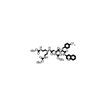 CC(C)(C)OC(=O)NCCN(CCNC(=O)OC(C)(C)C)NC(=O)C[C@H](NC(=O)OC(C)(C)C)C(=O)N[C@@H](Cc1ccc(C(F)(F)F)cc1)C(=O)Nc1cnc2ccccc2c1